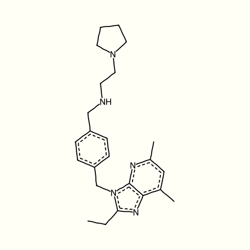 CCc1nc2c(C)cc(C)nc2n1Cc1ccc(CNCCN2CCCC2)cc1